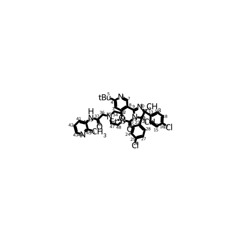 CCOc1cc(C(C)(C)C)ncc1C1=N[C@@](C)(c2ccc(Cl)cc2)[C@@](C)(c2ccc(Cl)cc2)N1C(=O)N1CCN(CC(=O)Nc2cccnc2C)CC1